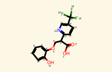 O=C(O)C(COc1ccccc1O)c1ccc(C(F)(F)F)cn1